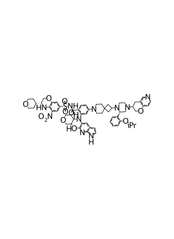 CC(C)Oc1ccccc1[C@@H]1CN([C@@H]2COc3ccncc3C2)CCN1C1CC2(CCN(c3ccc(C(=O)NS(=O)(=O)c4cc5c(c([N+](=O)[O-])c4)N[C@H](C4CCOCC4)CO5)c(N4c5cc6cc[nH]c6nc5O[C@H]5COCC[C@@H]54)c3)CC2)C1